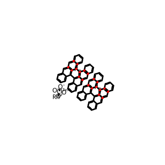 [O-][Cl+3]([O-])([O-])[O-].[Rh+].c1ccc(P(c2ccccc2)c2ccc3ccccc3c2-c2c(P(c3ccccc3)c3ccccc3)ccc3ccccc23)cc1.c1ccc(P(c2ccccc2)c2ccc3ccccc3c2-c2c(P(c3ccccc3)c3ccccc3)ccc3ccccc23)cc1